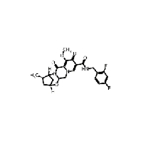 COc1c2n(cc(C(=O)NCc3ccc(F)cc3F)c1=O)CC1O[C@@H]3C[C@@H](C)[C@@H](C3)N1C2=O